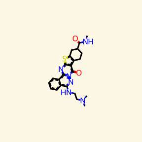 CNC(=O)C1CCc2c(sc3nc4c5ccccc5c(NCCN(C)C)nn4c(=O)c23)C1